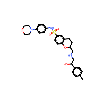 Cc1ccc(C(O)CNCC2CCc3cc(S(=O)(=O)Nc4ccc(N5CCOCC5)cc4)ccc3O2)cc1